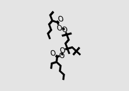 CCCCC(CC)C(=O)OOC(C)(C)CCC(C)(CC(C)(C)C)OOC(=O)C(CC)CCCC